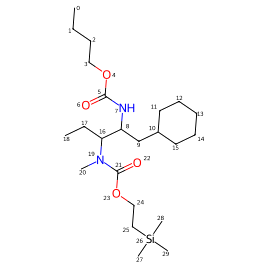 CCCCOC(=O)NC(CC1CCCCC1)C(CC)N(C)C(=O)OCC[Si](C)(C)C